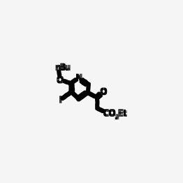 CCCCOc1ncc(C(=O)CC(=O)OCC)cc1I